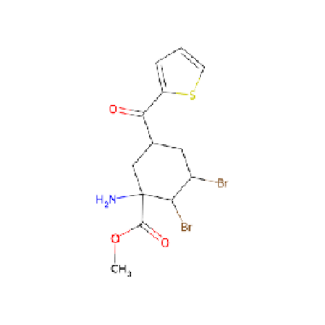 COC(=O)C1(N)CC(C(=O)c2cccs2)CC(Br)C1Br